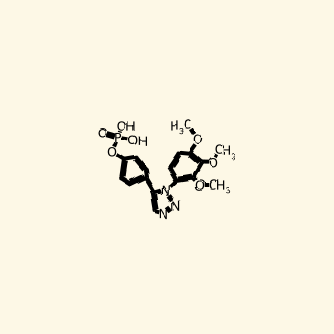 COc1ccc(-n2nncc2-c2ccc(OP(=O)(O)O)cc2)c(OC)c1OC